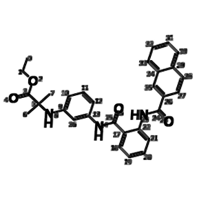 CCOC(=O)C(C)(C)Nc1cccc(NC(=O)c2ccccc2NC(=O)c2ccc3ccccc3c2)c1